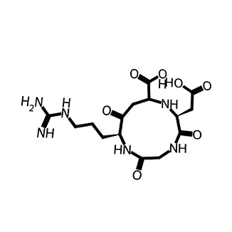 N=C(N)NCCC[C@@H]1NC(=O)CNC(=O)[C@H](CC(=O)O)NC(C(=O)O)CC1=O